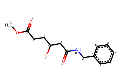 COC(=O)CCC(O)CC(=O)NCc1ccccc1